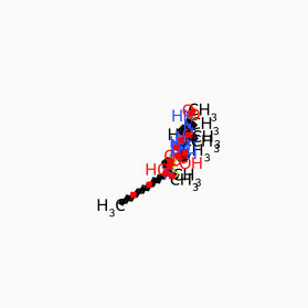 CCCCCCCCCCCCCCCCCCN1CC(C)(C)SC1c1cc(S(=O)(=O)Nc2cc(O)cc(C)c2-c2nnc3n2N=C(C(=O)NC(C)(C)C)/C3=N\c2ccc(N(CC)CCNS(C)(=O)=O)cc2)ccc1O